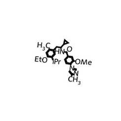 CCOc1cc(C)c(CC(NC(=O)c2ccc(-n3cnc(C)c3)c(OC)c2)C2CC2)cc1C(C)C